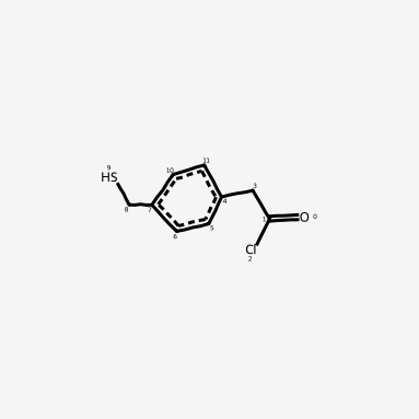 O=C(Cl)Cc1ccc(CS)cc1